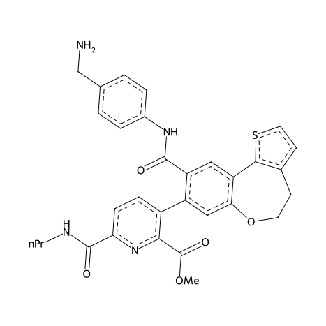 CCCNC(=O)c1ccc(-c2cc3c(cc2C(=O)Nc2ccc(CN)cc2)-c2sccc2CCO3)c(C(=O)OC)n1